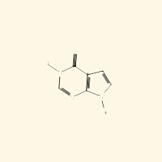 CC(C)n1ccc2c(=O)n(C)cnc21